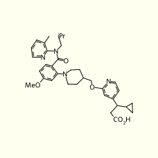 COc1ccc(C(=O)N(CC(C)C)c2ncccc2C)c(N2CCC(COc3cc(C(CC(=O)O)C4CC4)ccn3)CC2)c1